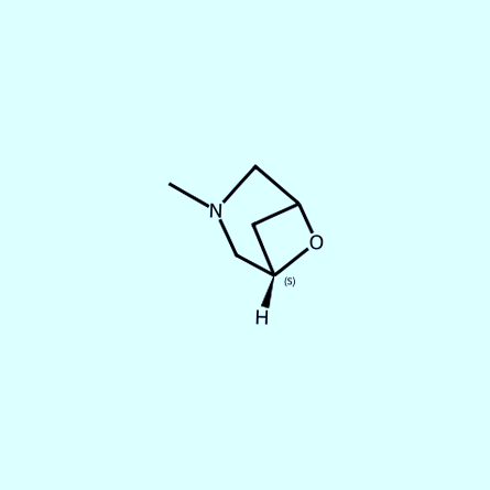 CN1CC2C[C@@H](C1)O2